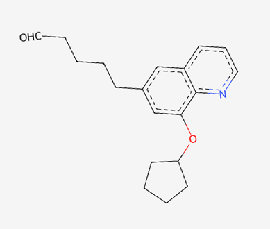 O=CCCCCc1cc(OC2CCCC2)c2ncccc2c1